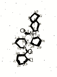 O=C(Nc1ccc2c(c1)CCC2)[C@H]1CCCN(C(=O)c2ccccc2Cl)[C@H]1c1ccccc1